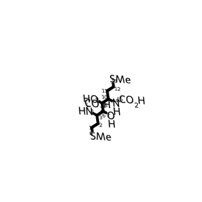 CSCCC(NC(=O)O)C(O)C(O)C(CCSC)NC(=O)O